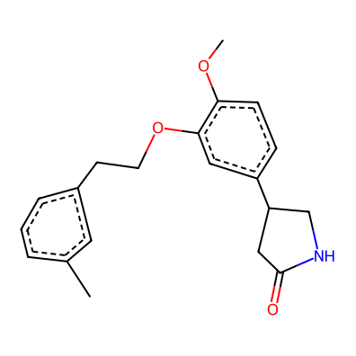 COc1ccc(C2CNC(=O)C2)cc1OCCc1cccc(C)c1